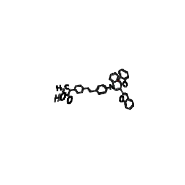 C=C(C(=O)O)c1ccc(C=Cc2ccc(N(C=C(c3cc4ccccc4o3)c3cc4ccccc4o3)c3ccccc3)cc2)cc1